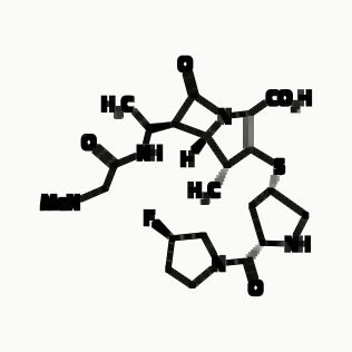 CNCC(=O)NC(C)[C@H]1C(=O)N2C(C(=O)O)=C(S[C@@H]3CN[C@H](C(=O)N4CC[C@@H](F)C4)C3)[C@H](C)[C@H]12